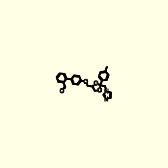 Cc1ccc(C2(Cn3ccnc3)OCC(COc3ccc(-c4ccccc4C=O)cc3)O2)cc1